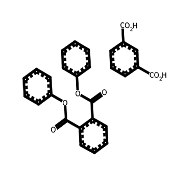 O=C(O)c1cccc(C(=O)O)c1.O=C(Oc1ccccc1)c1ccccc1C(=O)Oc1ccccc1